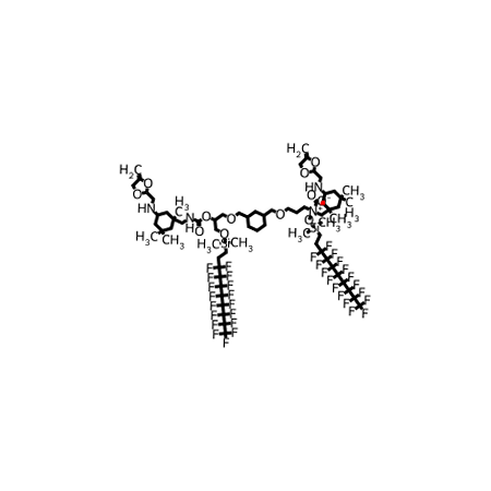 C=C1COC(CNC2CC(C)(C)CC(C)(CNC(=O)OC(COCC3CCCC(COCCC[N+](CC4(C)CC(NCC5OCC(=C)O5)CC(C)(C)C4)(O[Si](C)(C)CCC(F)(F)C(F)(F)C(F)(F)C(F)(F)C(F)(F)C(F)(F)C(F)(F)C(F)(F)F)C(=O)[O-])C3)CO[Si](C)(C)CCC(F)(F)C(F)(F)C(F)(F)C(F)(F)C(F)(F)C(F)(F)C(F)(F)C(F)(F)F)C2)O1